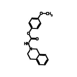 COc1ccc(OC(=O)NN2CCc3ccccc3C2)cc1